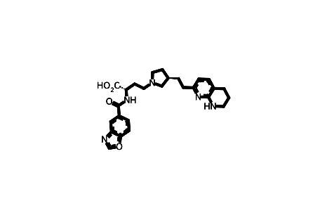 O=C(N[C@@H](CCN1CC[C@@H](CCc2ccc3c(n2)NCCC3)C1)C(=O)O)c1ccc2ocnc2c1